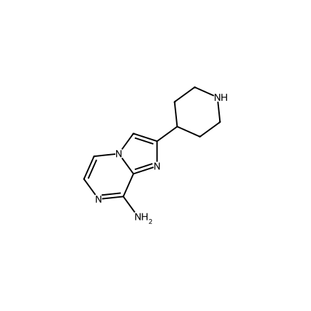 Nc1nccn2cc(C3CCNCC3)nc12